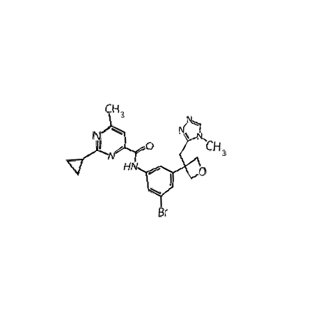 Cc1cc(C(=O)Nc2cc(Br)cc(C3(Cc4nncn4C)COC3)c2)nc(C2CC2)n1